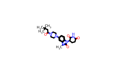 Cn1c(=O)n(C2CCC(=O)NC2=O)c2ccc(N3CCN(C(=O)CC(C)(C)C)CC3)cc21